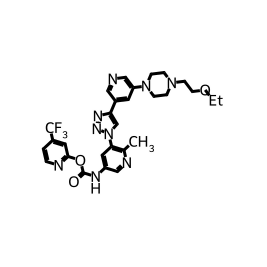 CCOCCN1CCN(c2cncc(-c3cn(-c4cc(NC(=O)Oc5cc(C(F)(F)F)ccn5)cnc4C)nn3)c2)CC1